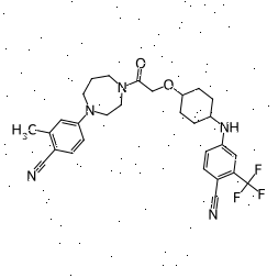 Cc1cc(N2CCCN(C(=O)COC3CCC(Nc4ccc(C#N)c(C(F)(F)F)c4)CC3)CC2)ccc1C#N